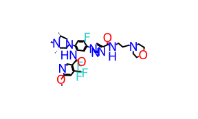 COc1cc(C(F)(F)F)c(C(=O)Nc2cc(-n3cc(C(=O)NCCCN4CCOCC4)nn3)c(F)cc2N2C[C@@H](C)N(C)[C@@H](C)C2)cn1